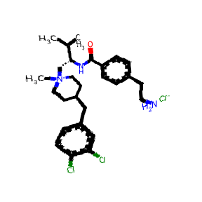 CC(C)[C@@H](C[N+]1(C)CCC(Cc2ccc(Cl)c(Cl)c2)CC1)NC(=O)c1ccc(CCN)cc1.[Cl-]